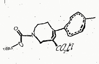 CCCCOC(=O)N1CCC(c2ccc(C)cc2)=C(C(=O)OCC)C1